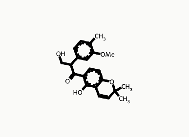 COc1cc(C(CO)C(=O)c2ccc3c(c2O)C=CC(C)(C)O3)ccc1C